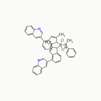 CC1=Cc2c(-c3cnc4ccccc4c3)cccc2[CH]1[Zr]([Cl])([Cl])([CH]1C(C)=Cc2c(-c3cnc4ccccc4c3)cccc21)[SiH](C)c1ccccc1